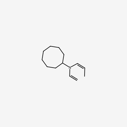 C=CN(/C=C\C)C1CCCCCCC1